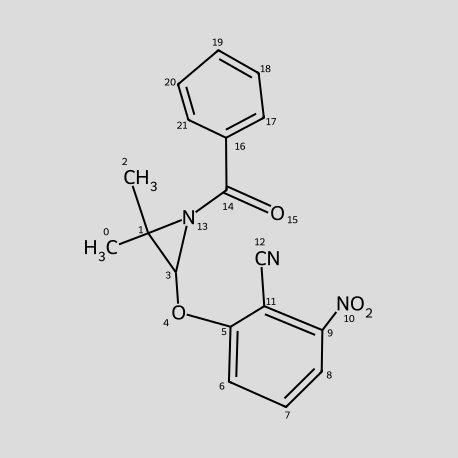 CC1(C)C(Oc2cccc([N+](=O)[O-])c2C#N)N1C(=O)c1ccccc1